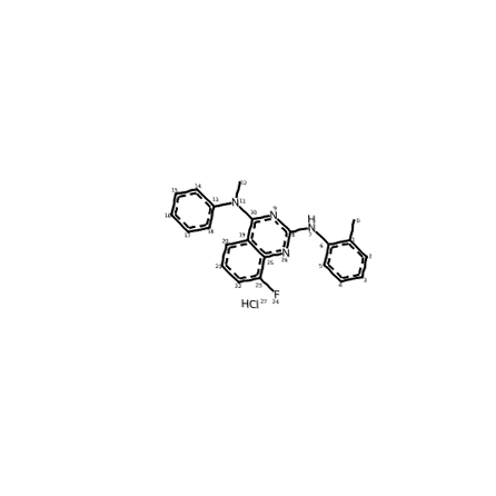 Cc1ccccc1Nc1nc(N(C)c2ccccc2)c2cccc(F)c2n1.Cl